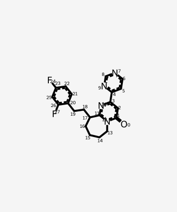 O=c1cc(-c2ccncn2)nc2n1CCCCC2CCc1ccc(F)cc1F